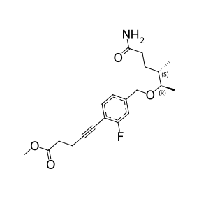 COC(=O)CCC#Cc1ccc(CO[C@H](C)[C@@H](C)CCC(N)=O)cc1F